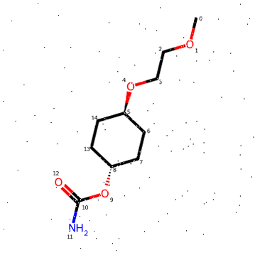 COCCO[C@H]1CC[C@H](OC(N)=O)CC1